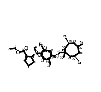 CCOC(=O)C1CCCC1N(C)c1cc(C)c(OCC2(C)C[C@H](C)CC(C)C[C@H](C)C2)cc1F